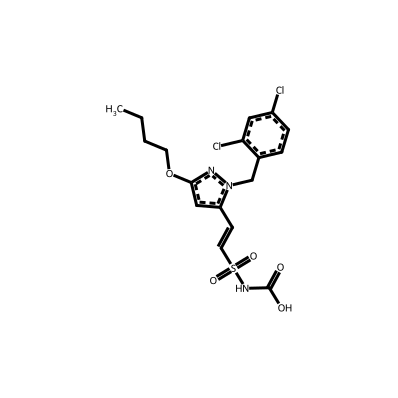 CCCCOc1cc(C=CS(=O)(=O)NC(=O)O)n(Cc2ccc(Cl)cc2Cl)n1